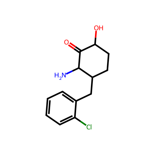 NC1C(=O)C(O)CCC1Cc1ccccc1Cl